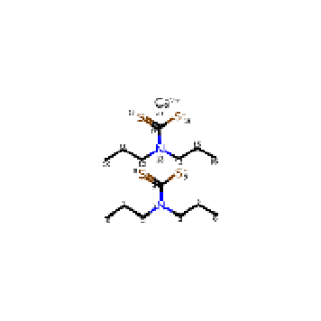 CCCN(CCC)C(=S)[S-].CCCN(CCC)C(=S)[S-].[Ca+2]